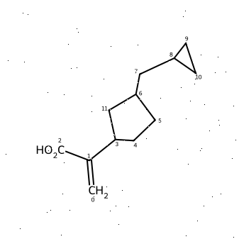 C=C(C(=O)O)C1CCC(CC2CC2)C1